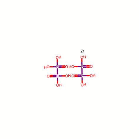 O=P(O)(O)P(=O)(O)O.O=P(O)(O)P(=O)(O)O.[Zr]